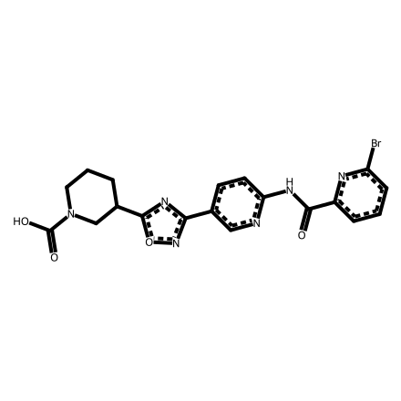 O=C(Nc1ccc(-c2noc(C3CCCN(C(=O)O)C3)n2)cn1)c1cccc(Br)n1